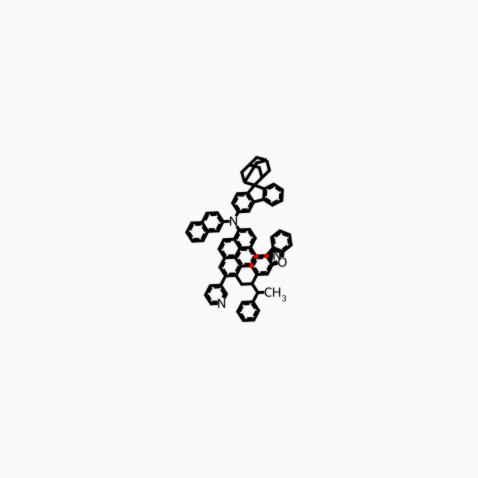 CC(c1ccccc1)C(Cc1c(-c2cccnc2)cc2ccc3c(N(c4ccc5c(c4)-c4ccccc4C54C5CC6CC(C5)CC4C6)c4ccc5ccccc5c4)ccc4c(C#N)cc1c2c43)c1ccc2c(c1)oc1ccccc12